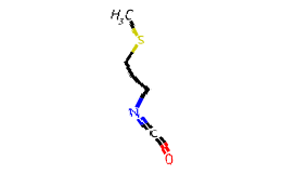 CSCCN=C=O